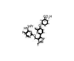 CCCNc1nc(OCc2c(-c3ccc(O[C@H]4CCC[C@H](C(=O)O)C4)c(C)n3)nnn2C)ncc1F